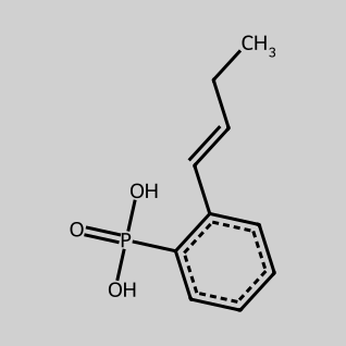 CC/C=C/c1ccccc1P(=O)(O)O